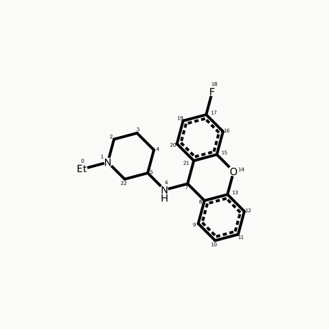 CCN1CCCC(NC2c3ccccc3Oc3cc(F)ccc32)C1